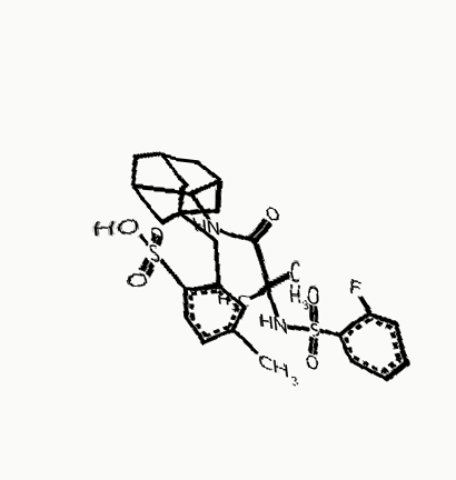 Cc1ccc(S(=O)(=O)O)c(CC23CC4CC(C2)C(NC(=O)C(C)(C)NS(=O)(=O)c2ccccc2F)C(C4)C3)c1